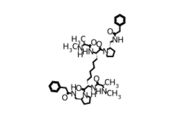 CN[C@@H](C)C(=O)N[C@@H](CCCCCC[C@H](NC(=O)[C@H](C)NC)C(=O)N1CCC[C@H]1CNC(=O)Cc1ccccc1)C(=O)N1CCC[C@H]1CNC(=O)Cc1ccccc1